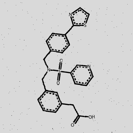 O=C(O)Cc1cccc(CN(Cc2ccc(-c3nccs3)cc2)S(=O)(=O)c2cccnc2)c1